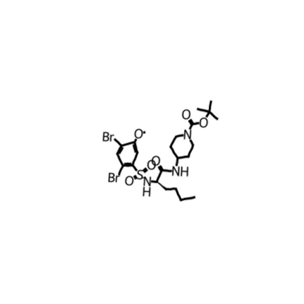 CCCC[C@@H](NS(=O)(=O)c1cc(OC)c(Br)cc1Br)C(=O)NC1CCN(C(=O)OC(C)(C)C)CC1